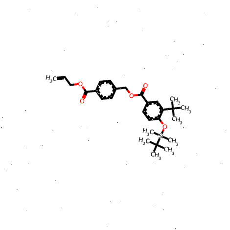 C=CCOC(=O)c1ccc(COC(=O)c2ccc(O[Si](C)(C)C(C)(C)C)c(C(C)(C)C)c2)cc1